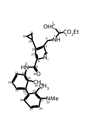 CCOC(=O)C(C=O)NCc1cnc(C(=O)Nc2cccc(-c3cccc(NC)c3C)c2C)cc1C1CC1